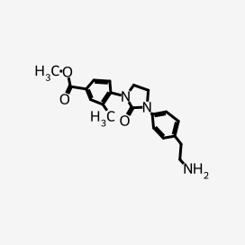 COC(=O)c1ccc(N2CCN(c3ccc(CCN)cc3)C2=O)c(C)c1